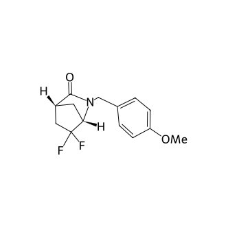 COc1ccc(CN2C(=O)[C@@H]3C[C@H]2C(F)(F)C3)cc1